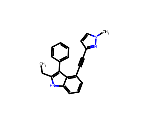 CCc1[nH]c2cccc(C#Cc3ccn(C)n3)c2c1-c1ccccc1